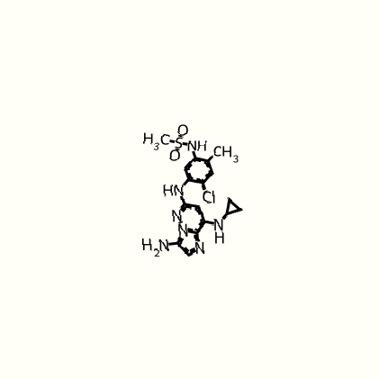 Cc1cc(Cl)c(Nc2cc(NC3CC3)c3ncc(N)n3n2)cc1NS(C)(=O)=O